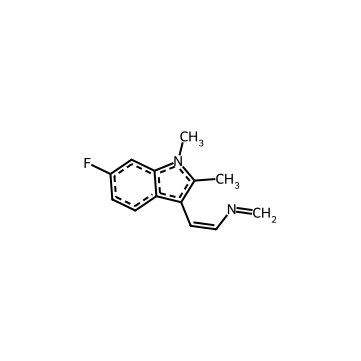 C=N/C=C\c1c(C)n(C)c2cc(F)ccc12